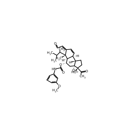 COc1cccc(NC(=O)O[C@H]2C[C@@]3(C)[C@@H](CC[C@]3(O)C(C)=O)[C@@H]3C=C/C(=C/C=O)[C@@](C)(C(C)C(C)C)[C@@H]32)c1